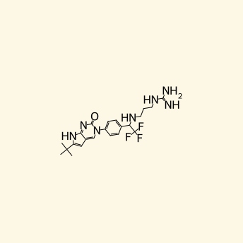 CC(C)(C)c1cc2cn(-c3ccc(C(NCCCNC(=N)N)C(F)(F)F)cc3)c(=O)nc2[nH]1